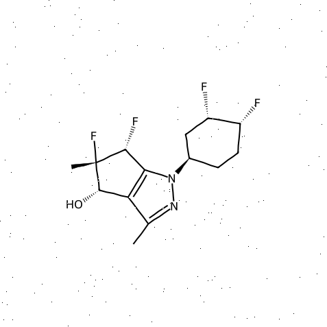 Cc1nn([C@@H]2CC[C@@H](F)[C@@H](F)C2)c2c1[C@H](O)[C@](C)(F)[C@@H]2F